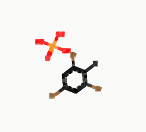 O=P(O)(O)O.[K][c]1c(Br)cc(Br)cc1Br